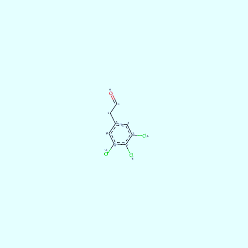 O=[C]Cc1cc(Cl)c(Cl)c(Cl)c1